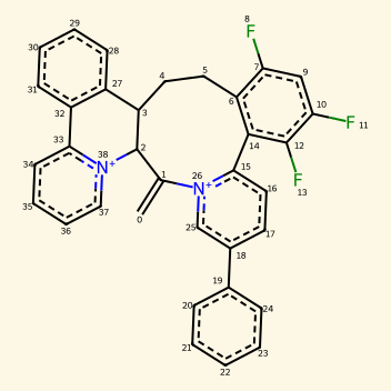 C=C1C2C(CCc3c(F)cc(F)c(F)c3-c3ccc(-c4ccccc4)c[n+]31)c1ccccc1-c1cccc[n+]12